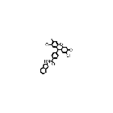 Cc1cc2oc3cc(=O)c(Cl)cc-3c(-c3ccc(C(=O)NC4Cc5ccccc5C4)cc3)c2cc1Cl